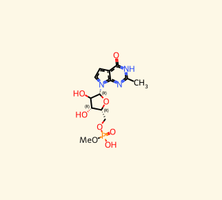 COP(=O)(O)OC[C@H]1O[C@@H](n2ccc3c(=O)[nH]c(C)nc32)C(O)[C@H]1O